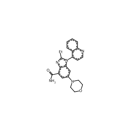 CCc1nc2c(C(N)=O)cc(N3CCOCC3)cc2n1-c1ccnc2ccccc12